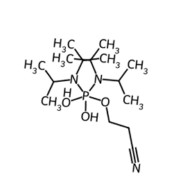 CC(C)N(C(C)C)P(O)(O)(OCCC#N)N(C(C)C)C(C)C